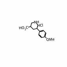 COc1ccc(C2CNCC(C(=O)O)C2)cc1.Cl